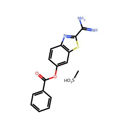 CS(=O)(=O)O.N=C(N)c1nc2ccc(OC(=O)c3ccccc3)cc2s1